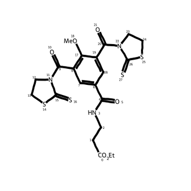 CCOC(=O)CCNC(=O)c1cc(C(=O)N2CCSC2=S)c(OC)c(C(=O)N2CCSC2=S)c1